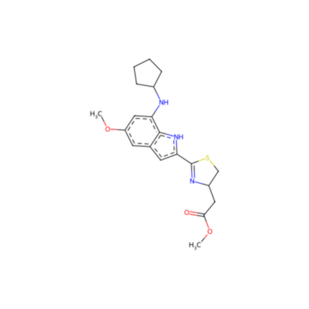 COC(=O)CC1CSC(c2cc3cc(OC)cc(NC4CCCC4)c3[nH]2)=N1